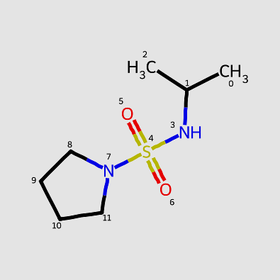 CC(C)NS(=O)(=O)N1CCCC1